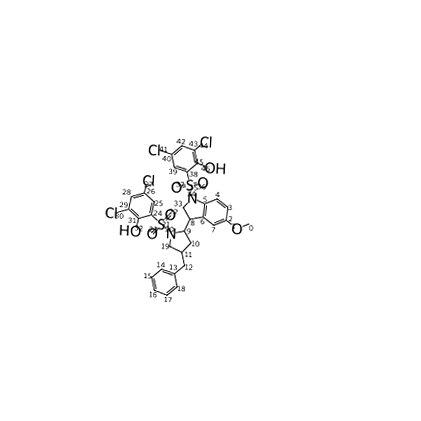 COc1ccc2c(c1)C(C1CC(Cc3ccccc3)CN1S(=O)(=O)c1cc(Cl)cc(Cl)c1O)CN2S(=O)(=O)c1cc(Cl)cc(Cl)c1O